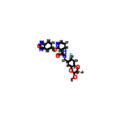 COC(=O)[C@@H](C)Oc1ccc(CNC(=O)c2cccnc2Oc2ccc3nonc3c2)c(F)c1